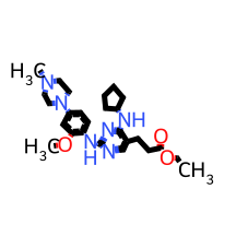 CCOC(=O)CCc1cnc(Nc2ccc(N3CCN(C)CC3)cc2OC)nc1NC1CCCC1